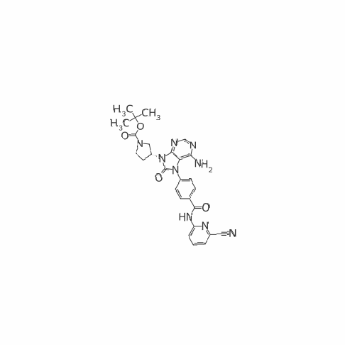 CC(C)(C)OC(=O)N1CC[C@@H](n2c(=O)n(-c3ccc(C(=O)Nc4cccc(C#N)n4)cc3)c3c(N)ncnc32)C1